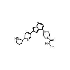 CCNC(=O)N1CCN(c2ccnn3cc(C4=CCC([C@H]5CCCN5)N=C4)cc23)CC1